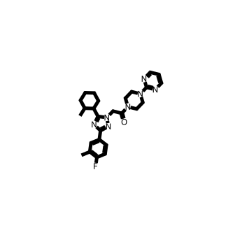 Cc1cc(-c2nc(C3CCCCC3C)n(CC(=O)N3CCN(c4ncccn4)CC3)n2)ccc1F